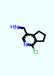 N=Cc1cnc(Cl)c2c1CCC2